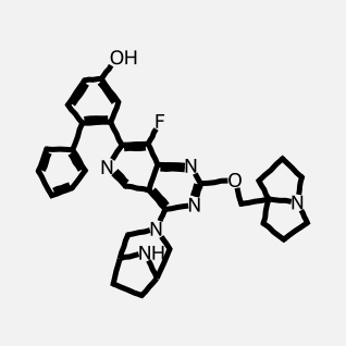 Oc1ccc(-c2ccccc2)c(-c2ncc3c(N4CC5CCC(C4)N5)nc(OCC45CCCN4CCC5)nc3c2F)c1